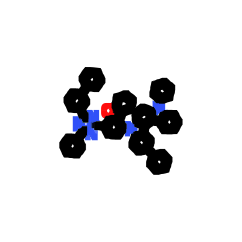 c1ccc(-c2cccc(-c3nc(-c4ccccc4)nc(-c4ccc(-n5c6ccc(-c7ccccc7)cc6c6c7c8ccccc8n(-c8ccccc8)c7ccc65)c5c4oc4ccccc45)n3)c2)cc1